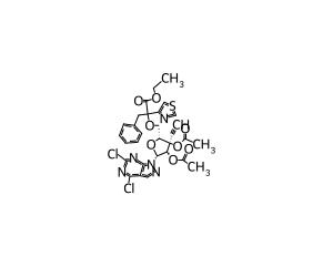 C#C[C@@]1(OC(C)=O)[C@@H](COC(Cc2ccccc2)(C(=O)OCC)c2cscn2)O[C@@H](n2ncc3c(Cl)nc(Cl)nc32)[C@@H]1OC(C)=O